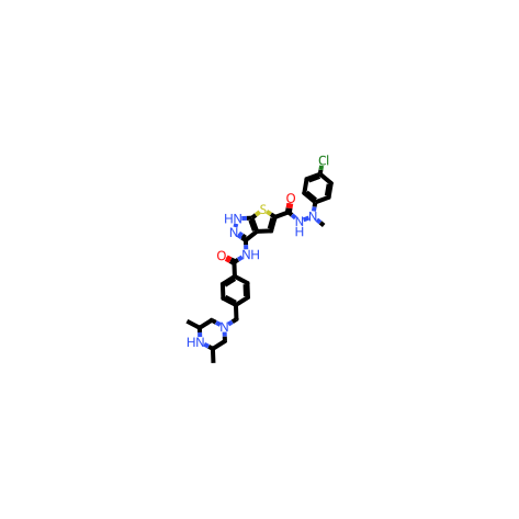 CC1CN(Cc2ccc(C(=O)Nc3n[nH]c4sc(C(=O)NN(C)c5ccc(Cl)cc5)cc34)cc2)CC(C)N1